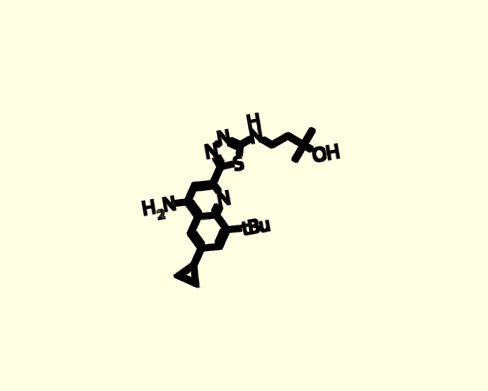 CC(C)(O)CCNc1nnc(-c2cc(N)c3cc(C4CC4)cc(C(C)(C)C)c3n2)s1